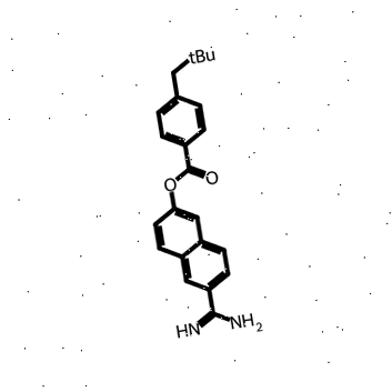 CC(C)(C)Cc1ccc(C(=O)Oc2ccc3cc(C(=N)N)ccc3c2)cc1